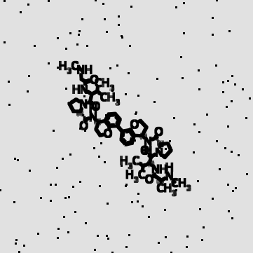 CNCC(=O)NC(C(=O)N1CCC[C@H]1C(=O)N[C@@H]1CCOc2c(-c3cccc4c3OCC[C@H]4NC(=O)[C@@H]3CCCN3C(=O)[C@@H](NC(=O)[C@H](C)NC)C(C)C)cccc21)C(C)C